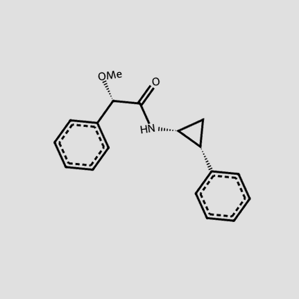 CO[C@H](C(=O)N[C@@H]1C[C@@H]1c1ccccc1)c1ccccc1